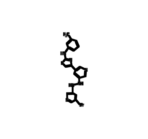 CC(C)c1cncc(NNc2cncc(-c3csc(Nc4cccc(C(F)(F)F)c4)n3)c2)c1